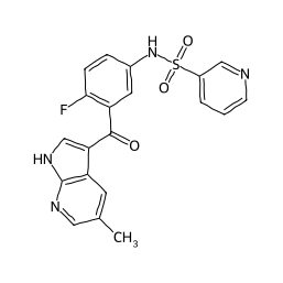 Cc1cnc2[nH]cc(C(=O)c3cc(NS(=O)(=O)c4cccnc4)ccc3F)c2c1